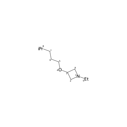 CCN1CC(OCCCC(C)C)C1